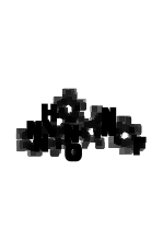 CC1(C)C(=O)N(c2ccc3c(cnn3-c3ccc(F)cc3)c2)[C@H](c2ccccc2)[C@H]1Nc1ncccn1